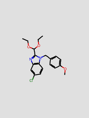 CCOC(OCC)c1nc2cc(Cl)ccc2n1Cc1ccc(OC)cc1